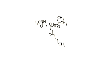 CCCCCC(=O)CCC(C)(CCC(=O)NC)CCC(=O)C(C)CC